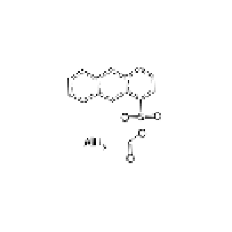 O=COS(=O)(=O)c1cccc2cc3ccccc3cc12.[AlH3]